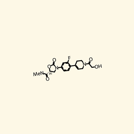 CNC(=O)[C@H]1CN(c2ccc(C3=CCN(C(=O)CO)CC3)c(F)c2)C(=O)O1